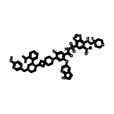 COc1ccc(CN2CCN(C3CC4(CCN(c5cc(Oc6cnc7[nH]ccc7c6)c(C(=O)NS(=O)(=O)c6cc([N+](=O)[O-])c(NCC7(F)CCOCC7)c7scnc67)cc5F)CC4)C3)C(c3ccccc3C(C)C)C2)cn1